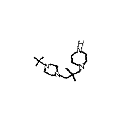 CC(C)(CN1CCNCC1)CN1CCN(C(C)(C)C)CC1